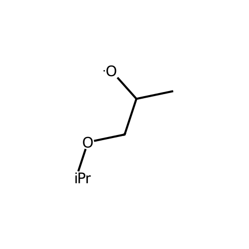 [CH2]C(C)OCC(C)[O]